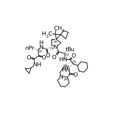 CCC[C@H](NC(=O)[C@@H]1C[C@@]2(CN1C(=O)[C@@H](NC(=O)[C@@H](NC(=O)[C@H]1CCCCN1CC(C)C)C1CCCCC1)C(C)(C)C)C(C)(C)C21CCC1)C(=O)C(=O)NC1CC1